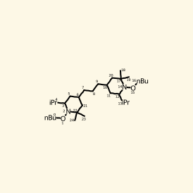 CCCCON1C(C(C)C)CC(CCCC2CC(C(C)C)N(OCCCC)C(C)(C)C2)CC1(C)C